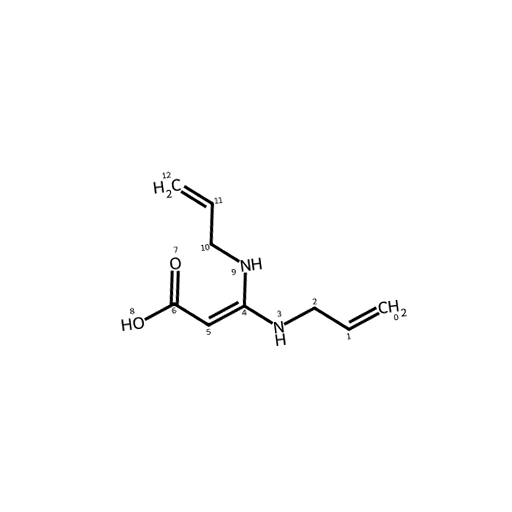 C=CCNC(=CC(=O)O)NCC=C